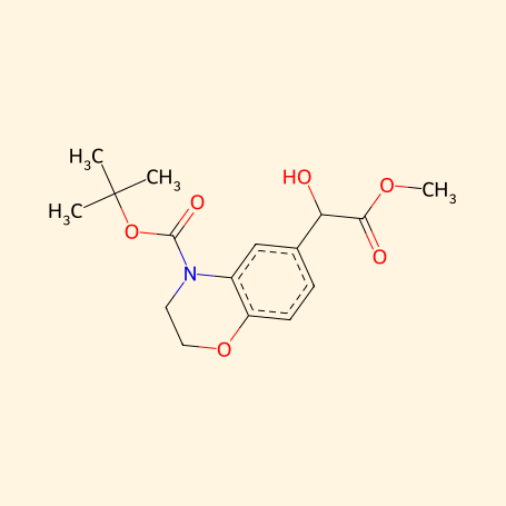 COC(=O)C(O)c1ccc2c(c1)N(C(=O)OC(C)(C)C)CCO2